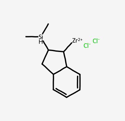 C[SiH](C)C1CC2C=CC=CC2[CH]1[Zr+2].[Cl-].[Cl-]